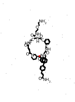 NCCOCCNC(=O)[C@@H]1CCNC(=O)/C=C/C(=O)N2CCC[C@](Cc3ccccc3)(C2)C(=O)N[C@@H](Cc2ccc(-c3ccc(/C=C/C(N)=O)cc3)cc2)C(=O)NCc2ccccc2CC(=O)N1